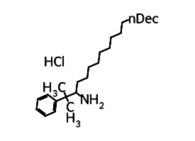 CCCCCCCCCCCCCCCCCCCC(N)C(C)(C)c1ccccc1.Cl